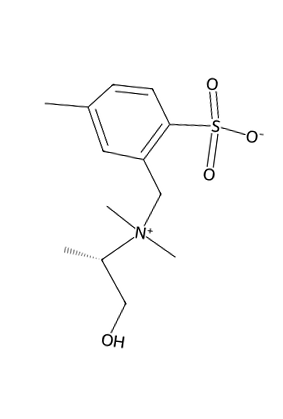 Cc1ccc(S(=O)(=O)[O-])c(C[N+](C)(C)[C@@H](C)CO)c1